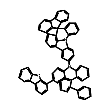 c1ccc(-c2ccccc2-c2ccccc2N(c2ccc(-c3cccc4c3oc3ccccc34)cc2)c2ccc3c(c2)c2cccc4c2n3-c2ccccc2C42c3ccccc3-c3ccccc32)cc1